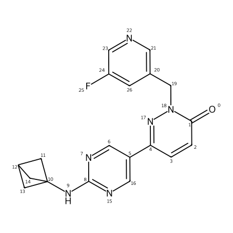 O=c1ccc(-c2cnc(NC34CC(C3)C4)nc2)nn1Cc1cncc(F)c1